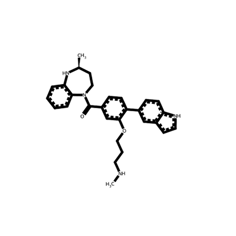 CNCCCOc1cc(C(=O)N2CC[C@H](C)Nc3ccccc32)ccc1-c1ccc2[nH]ccc2c1